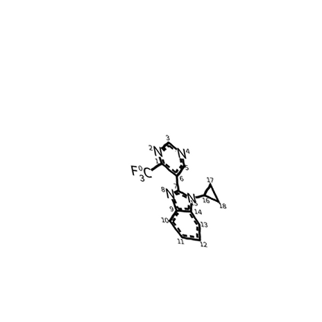 FC(F)(F)c1ncncc1-c1nc2ccccc2n1C1CC1